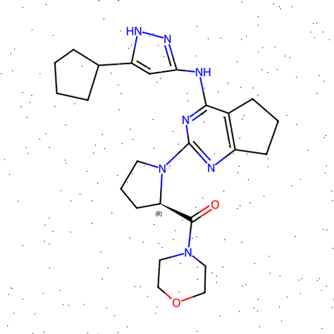 O=C([C@H]1CCCN1c1nc2c(c(Nc3cc(C4CCCC4)[nH]n3)n1)CCC2)N1CCOCC1